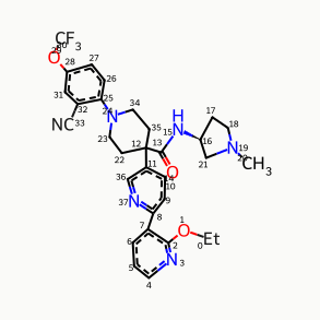 CCOc1ncccc1-c1ccc(C2(C(=O)N[C@H]3CCN(C)C3)CCN(c3ccc(OC(F)(F)F)cc3C#N)CC2)cn1